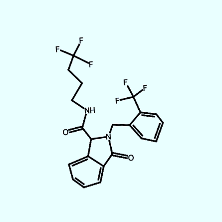 O=C(NCCCC(F)(F)F)C1c2ccccc2C(=O)N1Cc1ccccc1C(F)(F)F